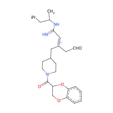 CC(C)CC(C)NC(=N)/C=C(/CC=O)CC1CCN(C(=O)C2COc3ccccc3O2)CC1